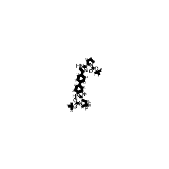 CC(C)(C)OC(=O)N1CCC[C@H]1c1nc(-c2ccc(-c3ccc4[nH]c([C@@H]5CC(F)(F)CN5C(=O)OC(C)(C)C)nc4c3)cc2)c[nH]1